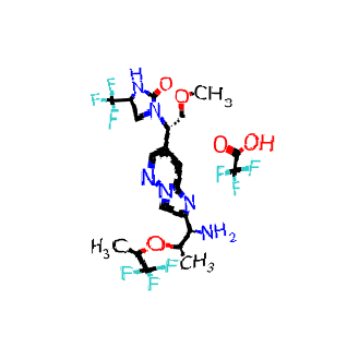 COC[C@H](c1cnn2cc([C@@H](N)[C@@H](C)OC(C)C(F)(F)F)nc2c1)N1CC(C(F)(F)F)NC1=O.O=C(O)C(F)(F)F